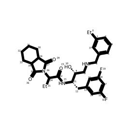 CCc1cccc(CNC[C@@H](O)[C@H](Cc2cc(F)cc(F)c2)NC(=O)C(CC)N2C(=O)C3CCCCC3C2=O)c1